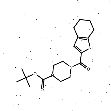 CC(C)(C)OC(=O)N1CCN(C(=O)c2cc3c([nH]2)CCCC3)CC1